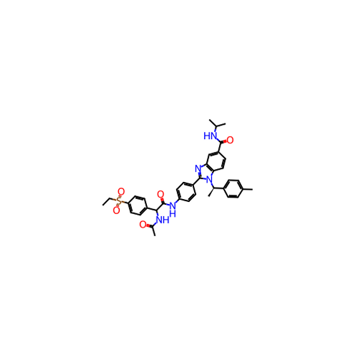 CCS(=O)(=O)c1ccc(C(NC(C)=O)C(=O)Nc2ccc(-c3nc4cc(C(=O)NC(C)C)ccc4n3[C@H](C)c3ccc(C)cc3)cc2)cc1